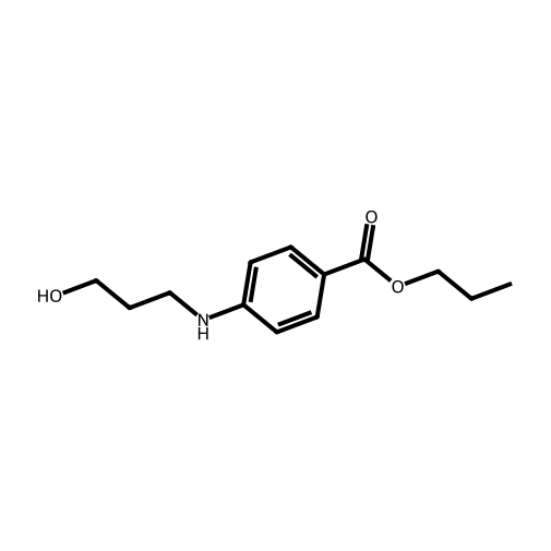 CCCOC(=O)c1ccc(NCCCO)cc1